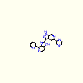 c1ccc(-c2nccc3[nH]c(-c4n[nH]c5cnc(-c6cnccn6)cc45)nc23)nc1